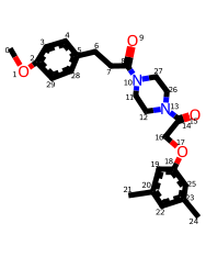 COc1ccc(CCC(=O)N2CCN(C(=O)COc3cc(C)cc(C)c3)CC2)cc1